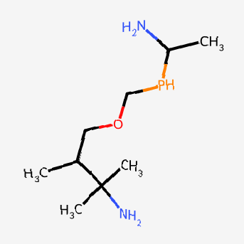 CC(N)PCOCC(C)C(C)(C)N